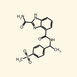 CC(NC(=O)c1cccc2[nH]c(C(N)=O)nc12)c1ccc(S(C)(=O)=O)cc1